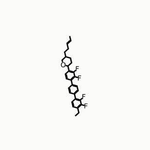 C/C=C/CCC1CCC(c2ccc(-c3ccc(-c4ccc(CC)c(F)c4F)cc3)c(F)c2F)OC1